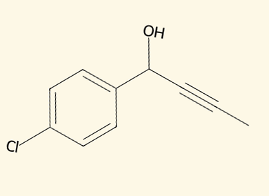 CC#CC(O)c1ccc(Cl)cc1